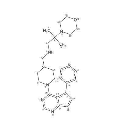 CC(C)(CNCC1CCN(c2ncnc3scc(-c4ccccc4)c23)CC1)N1CCOCC1